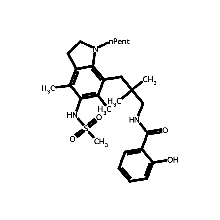 CCCCCN1CCc2c(C)c(NS(C)(=O)=O)c(C)c(CC(C)(C)CNC(=O)c3ccccc3O)c21